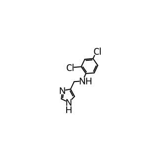 Clc1ccc(NCc2c[nH]cn2)c(Cl)c1